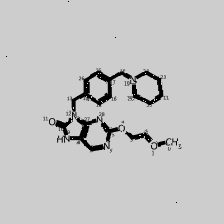 COCCOc1ncc2[nH]c(=O)n(Cc3ccc(CN4CCCCC4)cc3)c2n1